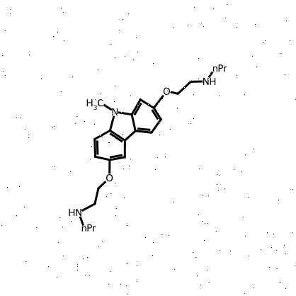 CCCNCCOc1ccc2c(c1)c1ccc(OCCNCCC)cc1n2C